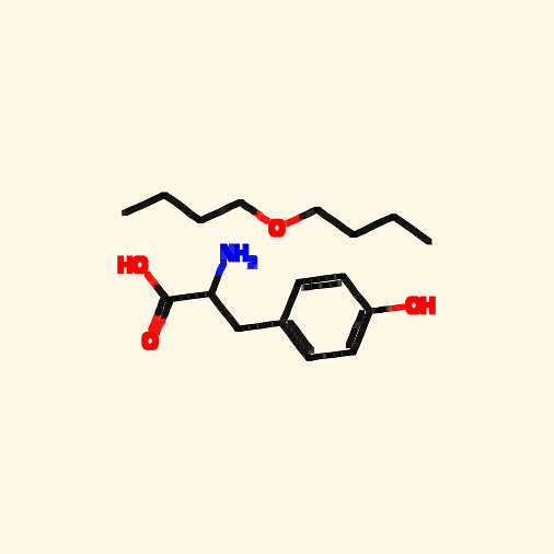 CCCCOCCCC.NC(Cc1ccc(O)cc1)C(=O)O